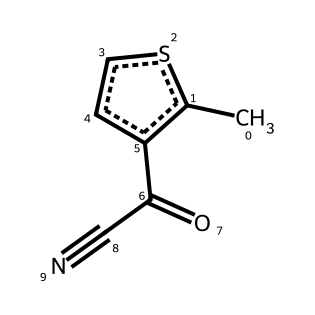 Cc1sccc1C(=O)C#N